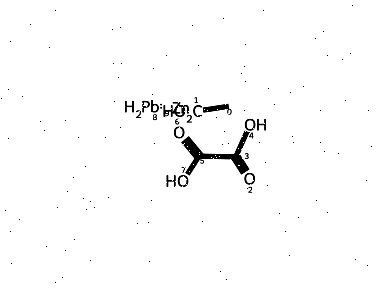 CC(=O)O.O=C(O)C(=O)O.[PbH2].[Zn]